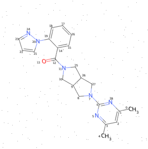 Cc1cc(C)nc(N2CC3CN(C(=O)c4ccccc4-n4cccn4)CC3C2)n1